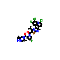 CC(C)C1=C(C(=O)N2C[C@H](F)C[C@@H]2C(=O)N2CC3(CC3)NC[C@@H]2C)SC2=N[C@@](C)(c3ccc(Cl)nc3)[C@@H](c3ccc(Cl)c(F)c3)N21